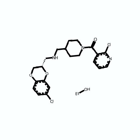 CCO.O=C(c1cccnc1Cl)N1CCC(CNC[C@H]2COc3ccc(Cl)cc3O2)CC1